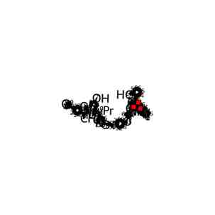 CC(C)[C@@H](C(=O)N1C[C@H](O)C[C@H]1C(=O)N[C@@H](C)c1ccc(C2COC2)cc1)c1cc(OCCN2CCC(O[C@H]3C[C@H](Oc4cc(N5C6CCC5CN(c5cc(-c7ccccc7O)nnc5N)C6)ccn4)C3)CC2)no1